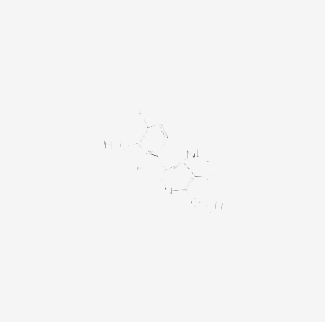 Cc1c(F)ccc(-c2cnc(C(=O)O)c(Cl)c2N)c1F